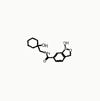 O=C(NCC1(O)CCCCC1)c1ccc2c(c1)B(O)OC2